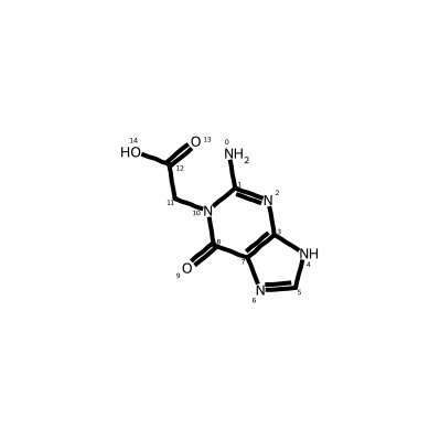 Nc1nc2[nH]cnc2c(=O)n1CC(=O)O